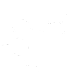 CCSc1oc2c(/C(C)=N/[S+]([O-])C(C)(C)C)cc(C)cc2c(=O)c1C